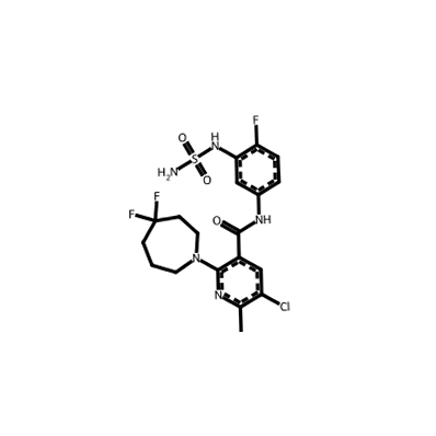 Cc1nc(N2CCCC(F)(F)CC2)c(C(=O)Nc2ccc(F)c(NS(N)(=O)=O)c2)cc1Cl